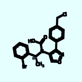 C[C@H](c1ccccc1Br)N(C(=O)O)c1conc1-c1ccc(CCl)cc1